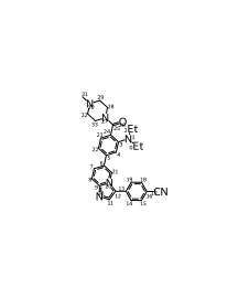 CCN(CC)c1cc(-c2ccc3ncc(-c4ccc(C#N)cc4)n3c2)ccc1C(=O)N1CCN(C)CC1